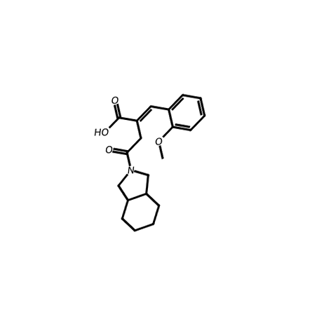 COc1ccccc1C=C(CC(=O)N1CC2CCCCC2C1)C(=O)O